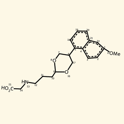 COc1ccc2c(C3COC(CCCNCC(=O)O)OC3)cccc2c1